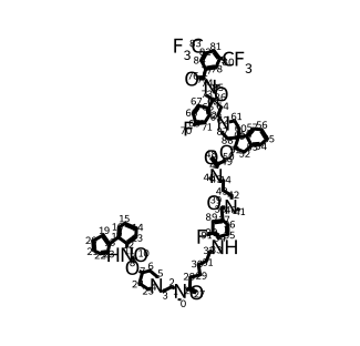 CN(CCN1CCC(OC(=O)Nc2ccccc2-c2ccccc2)CC1)C(=O)CCCCCNc1ccc(C(=O)N(C)CCCN(C)C(=O)COC2Cc3ccccc3C23CCN(CC[C@@]2(c4ccc(F)cc4)CN(C(=O)c4cc(C(F)(F)F)cc(C(F)(F)F)c4)CO2)CC3)cc1F